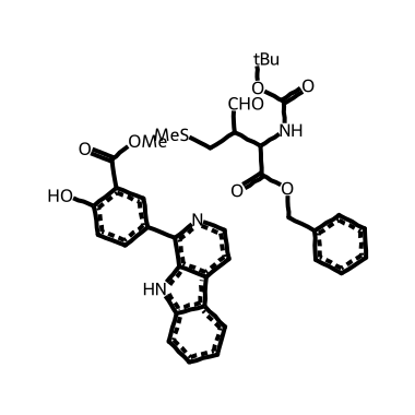 COC(=O)c1cc(-c2nccc3c2[nH]c2ccccc23)ccc1O.CSCC(C=O)C(NC(=O)OC(C)(C)C)C(=O)OCc1ccccc1